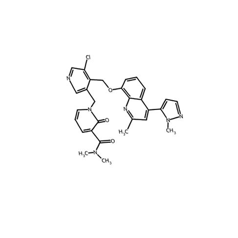 Cc1cc(-c2ccnn2C)c2cccc(OCc3c(Cl)cncc3Cn3cccc(C(=O)N(C)C)c3=O)c2n1